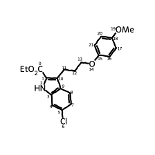 CCOC(=O)c1[nH]c2cc(Cl)ccc2c1CCCOc1ccc(OC)cc1